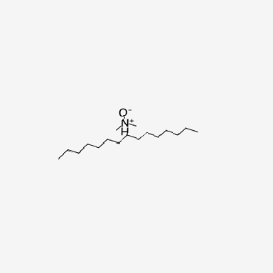 CCCCCCCCCCCCCCC.C[NH+](C)[O-]